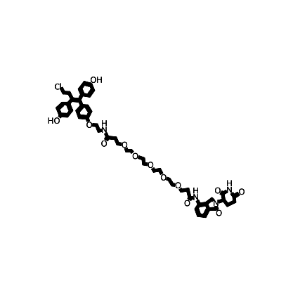 O=C(CCOCCOCCOCCOCCOCCC(=O)Nc1cccc2c1CN(C1CCC(=O)NC1=O)C2=O)NCCOc1ccc(C(=C(CCCl)c2ccc(O)cc2)c2ccc(O)cc2)cc1